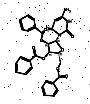 Nc1cc(=O)n([C@@H]2O[C@H](COC(=O)c3ccccc3)[C@@H](OC(=O)c3ccccc3)[C@H]2OC(=O)c2ccccc2)c(=O)[nH]1